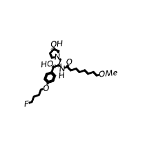 COCCCCCCCC(=O)N[C@H](CN1CC[C@@H](O)C1)[C@@H](O)c1ccc(OCCCCF)cc1